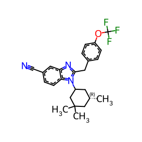 C[C@H]1CC(n2c(Cc3ccc(OC(F)(F)F)cc3)nc3cc(C#N)ccc32)CC(C)(C)C1